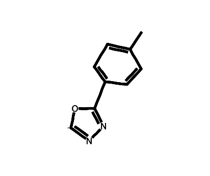 Cc1ccc(-c2nn[c]o2)cc1